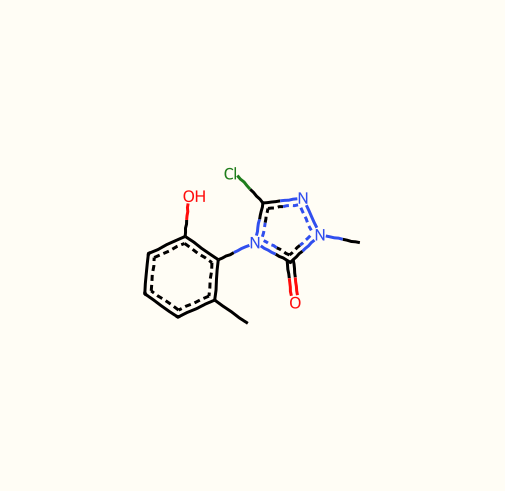 Cc1cccc(O)c1-n1c(Cl)nn(C)c1=O